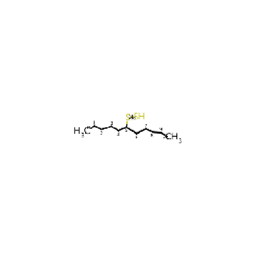 CCCCCC(CCCCC)SS